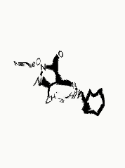 CON1N=C(C)C(=NNc2ccccc2)C1=O